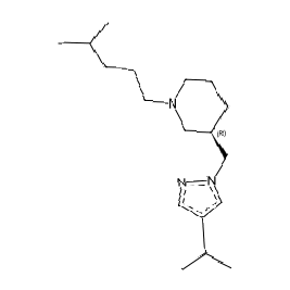 CC(C)CCCN1CCC[C@@H](Cn2cc(C(C)C)cn2)C1